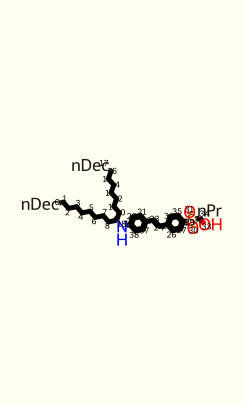 CCCCCCCCCCCCCCCCCCC(CCCCCCCCCCCCCCCCC)Nc1ccc(C=Cc2ccc(S(=O)(=O)C(O)CCC)cc2)cc1